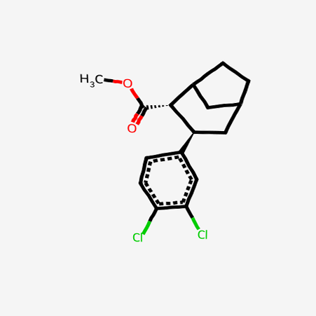 COC(=O)[C@@H]1C2CCC(C2)C[C@H]1c1ccc(Cl)c(Cl)c1